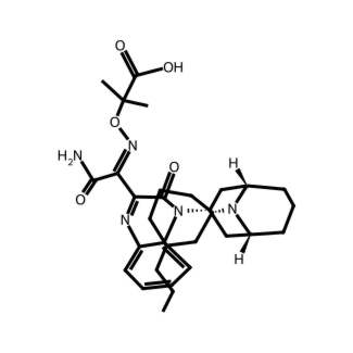 CCCC1CCC[C@H](N2[C@@H]3CCC[C@H]2C[C@@H](n2c(=O)c(/C(=N/OC(C)(C)C(=O)O)C(N)=O)nc4ccccc42)C3)C1